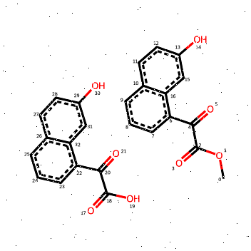 COC(=O)C(=O)c1cccc2ccc(O)cc12.O=C(O)C(=O)c1cccc2ccc(O)cc12